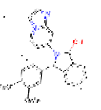 COc1ccc([C@H]2c3ccccc3C(O)N2c2ccn3ccnc3c2)cc1OC